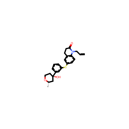 C=CCN1C(=O)CCc2cc(Sc3cccc([C@@]4(O)CCO[C@@H](C)C4)c3)ccc21